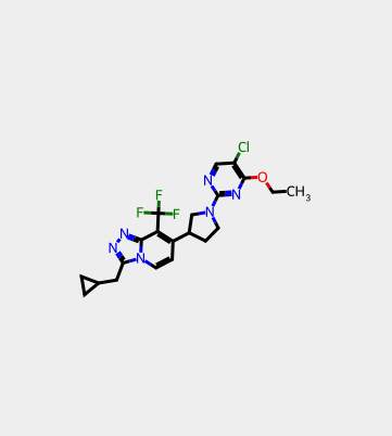 CCOc1nc(N2CCC(c3ccn4c(CC5CC5)nnc4c3C(F)(F)F)C2)ncc1Cl